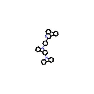 c1ccc2c(c1)-c1cccc3nc(-c4ccc(-n5c6ccccc6c6cc(-n7c8ccccc8c8ccccc87)ccc65)cc4)cc-2c13